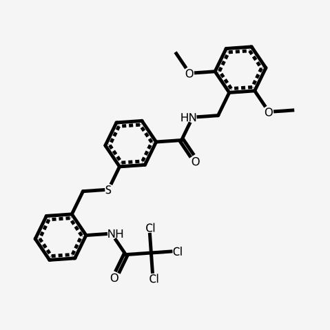 COc1cccc(OC)c1CNC(=O)c1cccc(SCc2ccccc2NC(=O)C(Cl)(Cl)Cl)c1